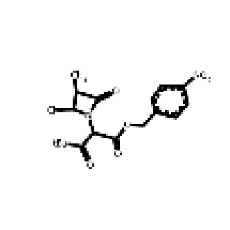 CC1C(=O)N(C(C(=O)OCc2ccc([N+](=O)[O-])cc2)C(=O)C(C)(C)C)C1Cl